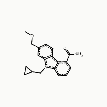 COCc1c[c]c2c3c(C(N)=O)cccc3n(CC3CC3)c2c1